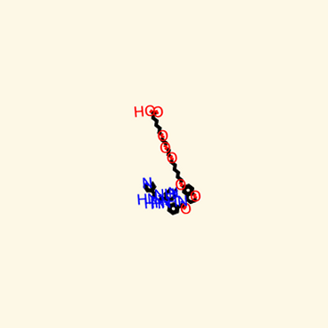 CN1CCC(Nc2cccc(C(=O)NC3CCOc4ccc(OCCCCCCOCCOCCOCCCCCC(=O)O)cc43)c2)(C(=N)NC(=N)c2ccncc2)CC1